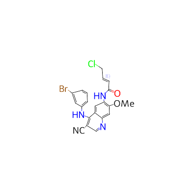 COc1cc2ncc(C#N)c(Nc3cccc(Br)c3)c2cc1NC(=O)/C=C/CCl